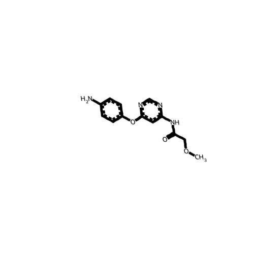 COCC(=O)Nc1cc(Oc2ccc(N)cc2)ncn1